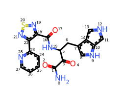 NC(=O)C(=O)C(Cc1c[nH]c2c[nH]cc12)NC(=O)c1nsnc1-c1ccccn1